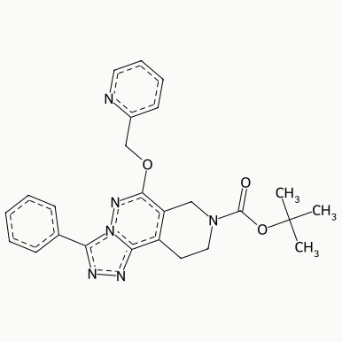 CC(C)(C)OC(=O)N1CCc2c(c(OCc3ccccn3)nn3c(-c4ccccc4)nnc23)C1